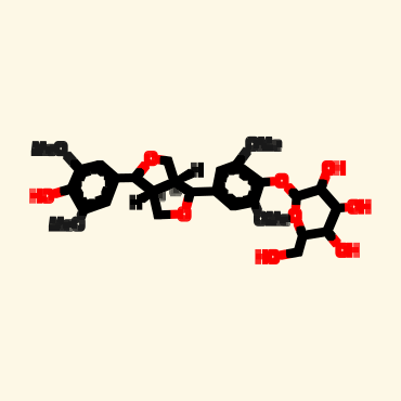 COc1cc(C2OC[C@@H]3C(c4cc(OC)c(OC5OC(CO)C(O)C(O)C5O)c(OC)c4)OC[C@H]23)cc(OC)c1O